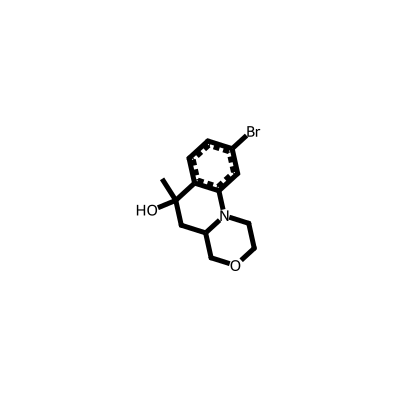 CC1(O)CC2COCCN2c2cc(Br)ccc21